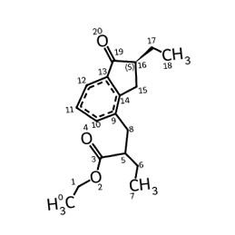 CCOC(=O)C(CC)Cc1cccc2c1C[C@H](CC)C2=O